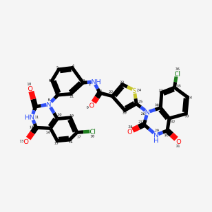 O=C(Nc1cccc(-n2c(=O)[nH]c(=O)c3ccc(Cl)cc32)c1)c1csc(-n2c(=O)[nH]c(=O)c3ccc(Cl)cc32)c1